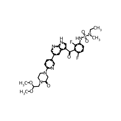 CCN(C)S(=O)(=O)Nc1ccc(F)c(C(=O)c2c[nH]c3ncc(-c4ccc(N5CCN(CC(OC)OC)C(=O)C5)nc4)cc23)c1F